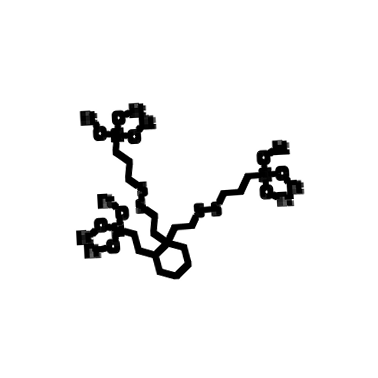 CCO[Si](CCCSSCCC1(CCSSCCC[Si](OCC)(OCC)OCC)CCCCC1CC[Si](OCC)(OCC)OCC)(OCC)OCC